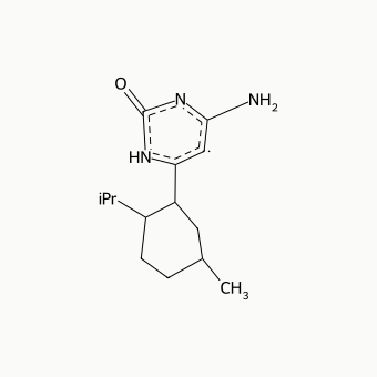 CC1CCC(C(C)C)C(c2[c]c(N)nc(=O)[nH]2)C1